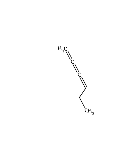 C=C=C=CCC